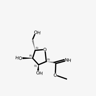 COC(=N)[C@H]1O[C@@H](CO)[C@H](O)[C@@H]1O